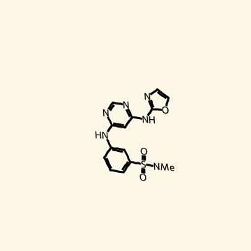 CNS(=O)(=O)c1cccc(Nc2cc(Nc3ncco3)ncn2)c1